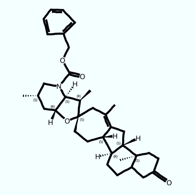 CC1=C2C[C@H]3[C@@H](CCC4CC(=O)CC[C@@]43C)[C@@H]2CC[C@@]2(C1)O[C@@H]1C[C@H](C)CN(C(=O)OCc3ccccc3)[C@H]1[C@H]2C